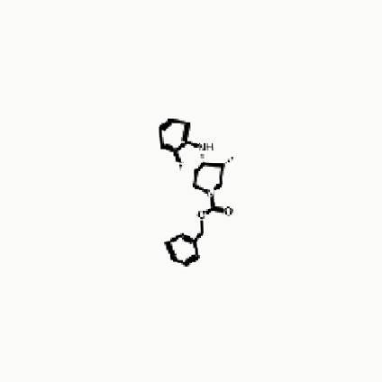 C[C@@H]1CN(C(=O)OCc2ccccc2)CC[C@@H]1Nc1ccccc1F